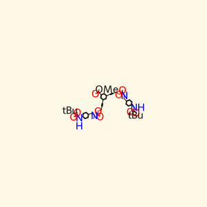 COC(=O)c1cc(C#CCOC(=O)N(C)Cc2ccc(NC(=O)OC(C)(C)C)cc2)cc(C#CCOC(=O)N(C)Cc2ccc(NC(=O)OC(C)(C)C)cc2)c1